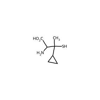 CC(S)(C1CC1)C(N)C(=O)O